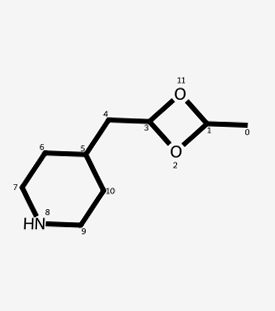 CC1OC(CC2CCNCC2)O1